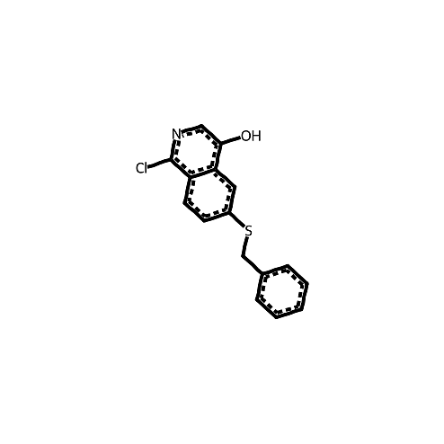 Oc1cnc(Cl)c2ccc(SCc3ccccc3)cc12